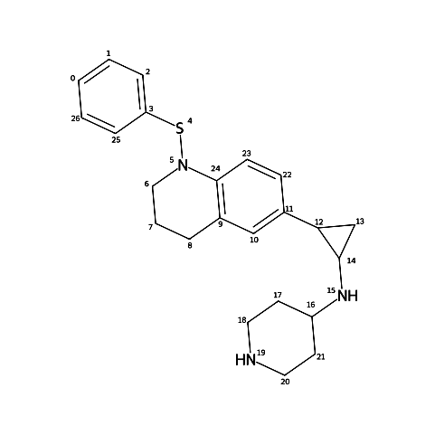 c1ccc(SN2CCCc3cc(C4CC4NC4CCNCC4)ccc32)cc1